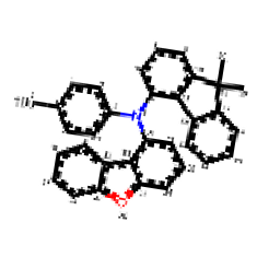 CC(C)(C)c1ccc(N(c2cccc3c2-c2ccccc2C3(C)C)c2cccc3oc4ccccc4c23)cc1